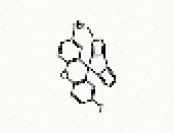 Fc1ccc2c(c1)C1(c3cc(F)ccc3O2)c2ccccc2-c2ccc(Br)cc21